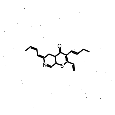 C=CC1=C(/C=C/CC)C(=O)C2C/C(=C\C=C/C)N=CC2S1